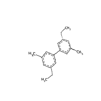 CCc1cc(C)[c]c(-c2cc(C)cc(CC)c2)c1